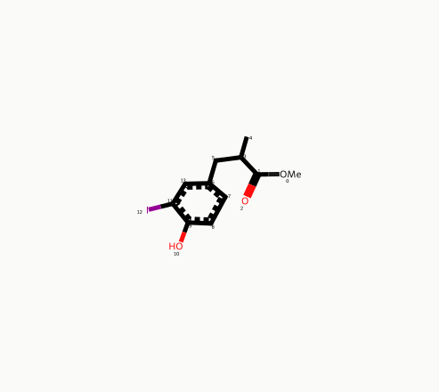 COC(=O)C(C)Cc1ccc(O)c(I)c1